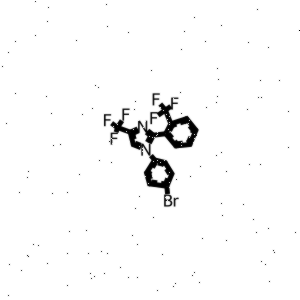 FC(F)(F)c1cn(-c2ccc(Br)cc2)c(-c2ccccc2C(F)(F)F)n1